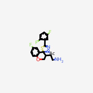 CC(=O)N1N=C(c2cc(F)ccc2F)SC12c1cc(F)ccc1OCC2CCN